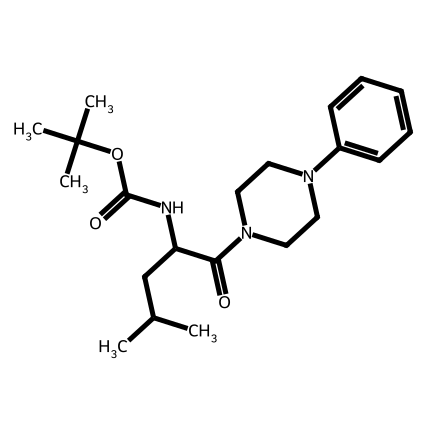 CC(C)CC(NC(=O)OC(C)(C)C)C(=O)N1CCN(c2ccccc2)CC1